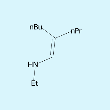 CCCC/C(=C\NCC)CCC